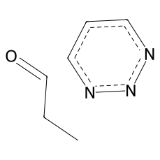 CCC=O.c1cnnnc1